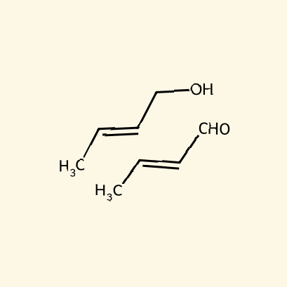 C/C=C/C=O.C/C=C/CO